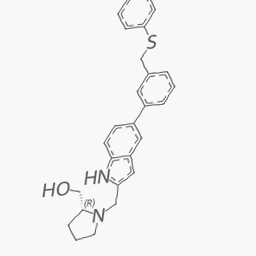 OC[C@H]1CCCN1Cc1cc2cc(-c3cccc(CSc4ccccc4)c3)ccc2[nH]1